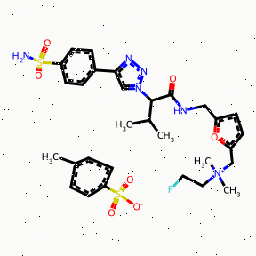 CC(C)C(C(=O)NCc1ccc(C[N+](C)(C)CCF)o1)n1cc(-c2ccc(S(N)(=O)=O)cc2)nn1.Cc1ccc(S(=O)(=O)[O-])cc1